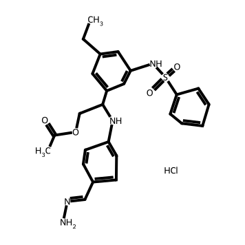 CCc1cc(NS(=O)(=O)c2ccccc2)cc(C(COC(C)=O)Nc2ccc(C=NN)cc2)c1.Cl